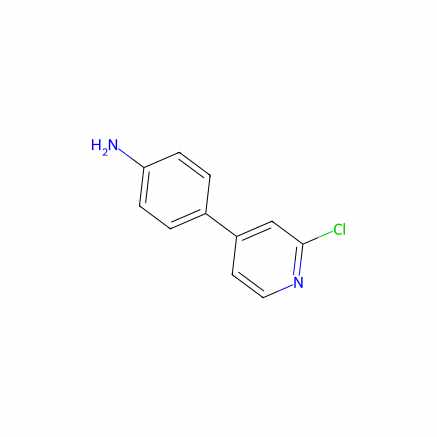 Nc1ccc(-c2ccnc(Cl)c2)cc1